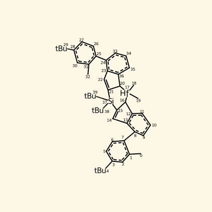 Cc1cc(C(C)(C)C)ccc1-c1cccc2c1C=C1[CH]2[Hf]([CH3])([CH3])[CH]2C(=Cc3c(-c4ccc(C(C)(C)C)cc4C)cccc32)[Si]1(C(C)(C)C)C(C)(C)C